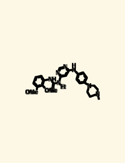 CCN(C(=O)Nc1cccc(OC)c1OC)c1cc(Nc2ccc(N3CCN(C)CC3)cc2)ncn1